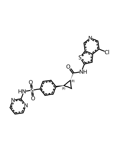 O=C(Nc1cc2c(Cl)cncc2s1)[C@@H]1C[C@H]1c1ccc(S(=O)(=O)Nc2ncccn2)cc1